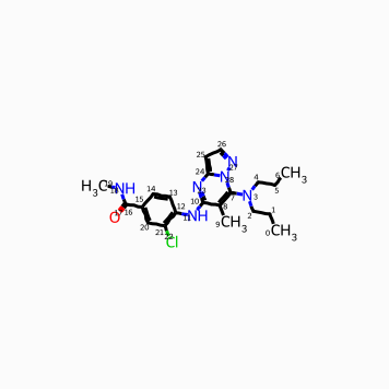 CCCN(CCC)c1c(C)c(Nc2ccc(C(=O)NC)cc2Cl)nc2ccnn12